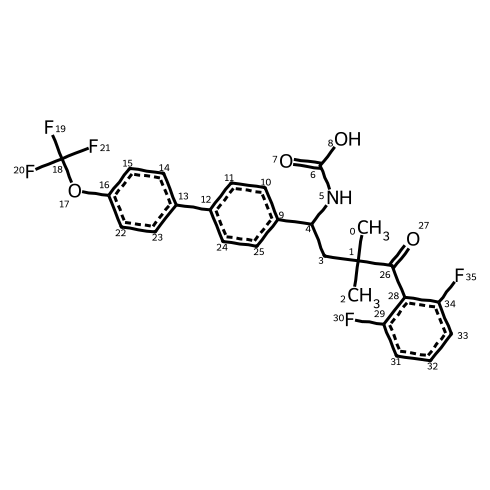 CC(C)(CC(NC(=O)O)c1ccc(-c2ccc(OC(F)(F)F)cc2)cc1)C(=O)c1c(F)cccc1F